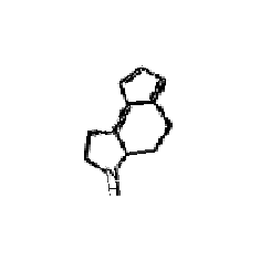 C1=CC2=C3CCNC3CCC2=C1